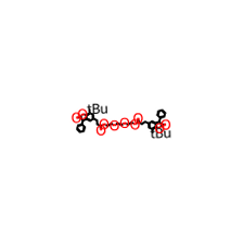 CC(C)(C)c1cc(CCC(=O)OCCOCCOCCOC(=O)CCc2cc3c(c(C(C)(C)C)c2)OC(=O)C3c2ccccc2)cc2c1OC(=O)C2c1ccccc1